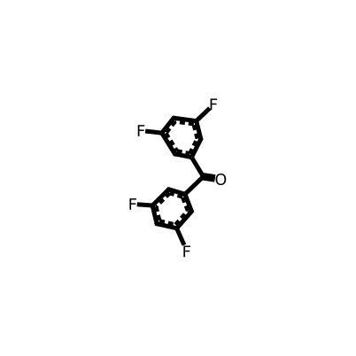 O=C(c1cc(F)cc(F)c1)c1cc(F)cc(F)c1